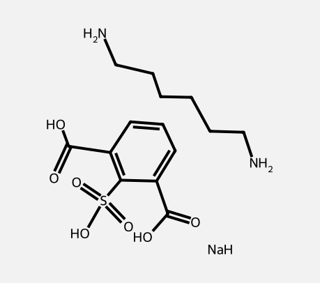 NCCCCCCN.O=C(O)c1cccc(C(=O)O)c1S(=O)(=O)O.[NaH]